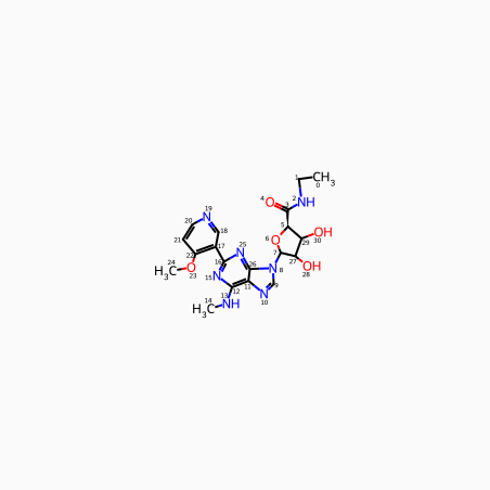 CCNC(=O)[C@@H]1OC(n2cnc3c(NC)nc(-c4cnccc4OC)nc32)C(O)C1O